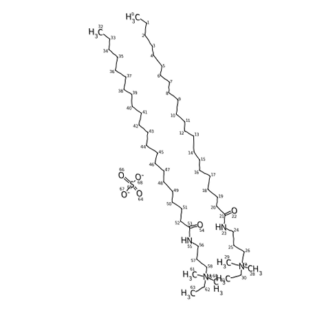 CCCCCCCCCCCCCCCCCCCCCC(=O)NCCC[N+](C)(C)CC.CCCCCCCCCCCCCCCCCCCCCC(=O)NCCC[N+](C)(C)CC.O=S(=O)([O-])[O-]